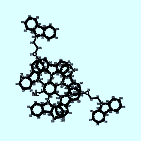 N#Cc1c(-n2c3ccccc3c3ncccc32)c(-n2c3ccccc3c3cc(OCCn4c5ccccc5c5ccccc54)ccc32)c(-n2c3ccccc3c3ncccc32)c(-n2c3ccccc3c3cc(OCCn4c5ccccc5c5ccccc54)ccc32)c1-n1c2ccccc2c2ncccc21